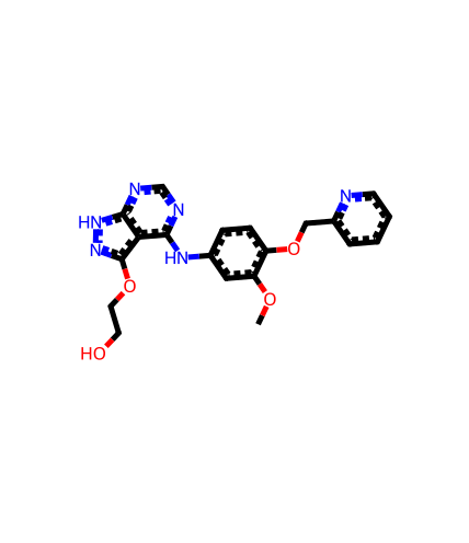 COc1cc(Nc2ncnc3[nH]nc(OCCO)c23)ccc1OCc1ccccn1